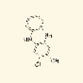 Oc1cc2c(cc1O)Nc1ccccc1N2